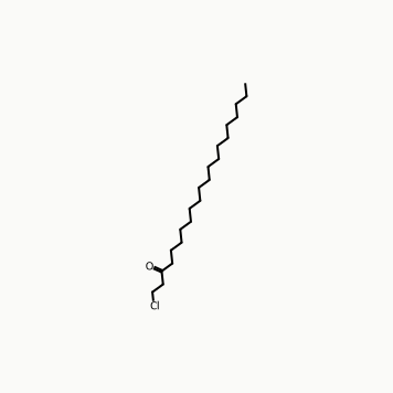 CCCCCCCCCCCCCCCCCCC(=O)CCCl